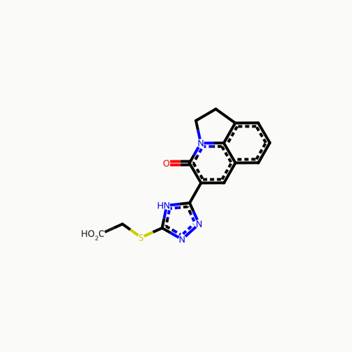 O=C(O)CSc1nnc(-c2cc3cccc4c3n(c2=O)CC4)[nH]1